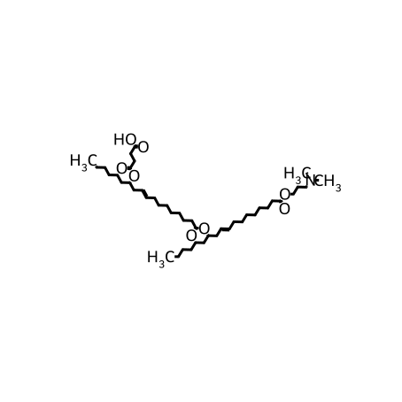 CCCCCCC(C/C=C/CCCCCCCC(=O)OCCCN(C)C)OC(=O)CCCCCCC/C=C/CC(CCCCCC)OC(=O)CCC(=O)O